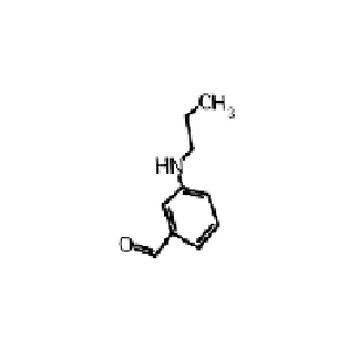 CCCNc1cccc(C=O)c1